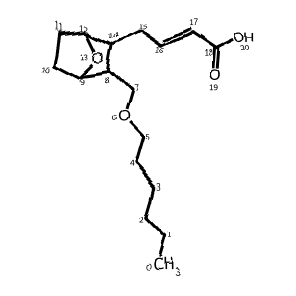 CCCCCCOCC1C2CCC(O2)C1CC=CC(=O)O